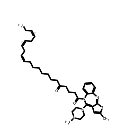 CC/C=C\C/C=C\C/C=C\CCCCCCCC(=O)CCCC(=O)N1C(N2CCN(C)CC2)=c2cc(C)sc2=Nc2ccccc21